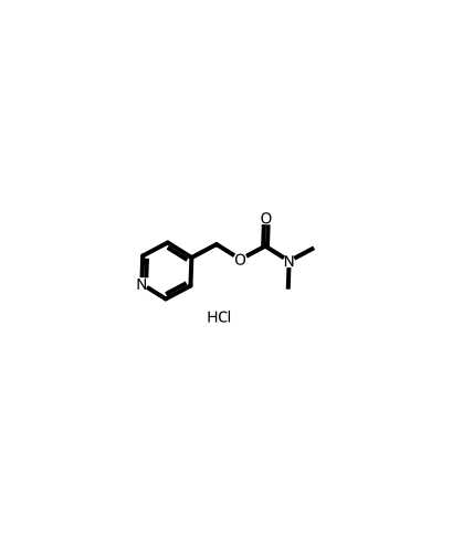 CN(C)C(=O)OCc1ccncc1.Cl